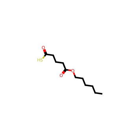 CCCCCCOC(=O)CCCC(=O)S